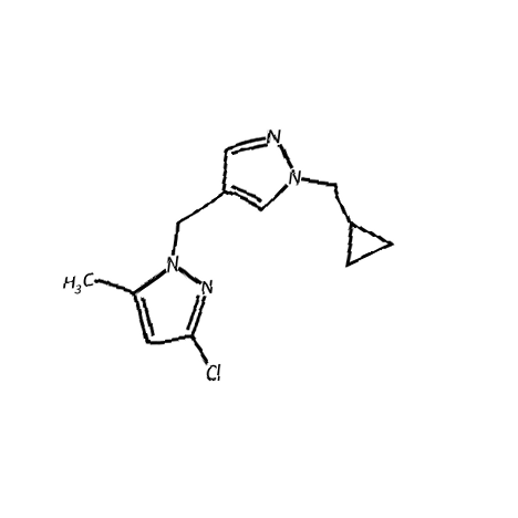 Cc1cc(Cl)nn1Cc1cnn(CC2CC2)c1